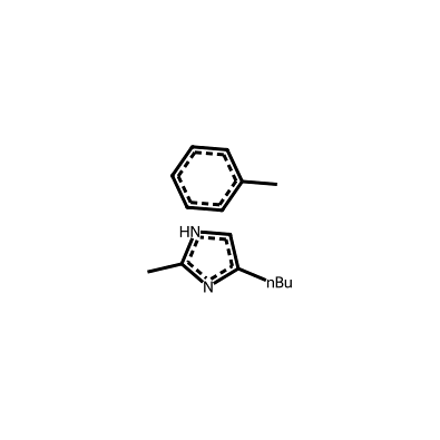 CCCCc1c[nH]c(C)n1.Cc1ccccc1